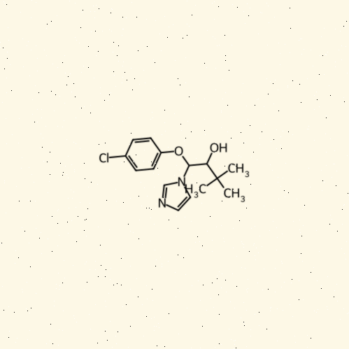 CC(C)(C)C(O)C(Oc1ccc(Cl)cc1)n1ccnc1